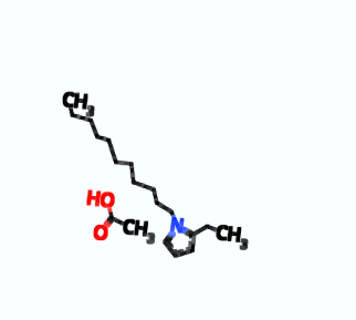 CC(=O)O.CCCCCCCCCCCn1cccc1CC